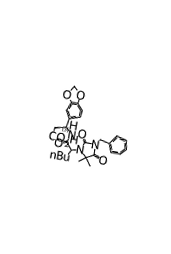 CCCCC(C(=O)N[C@@H](CC(=O)O)c1ccc2c(c1)OCO2)N1C(=O)N(Cc2ccccc2)C(=O)C1(C)C